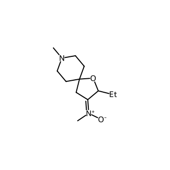 CCC1OC2(CCN(C)CC2)C/C1=[N+](\C)[O-]